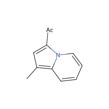 CC(=O)c1cc(C)c2ccccn12